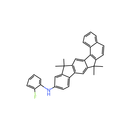 CC1(C)c2cc(Nc3ccccc3F)ccc2-c2cc3c(cc21)-c1c(ccc2ccccc12)C3(C)C